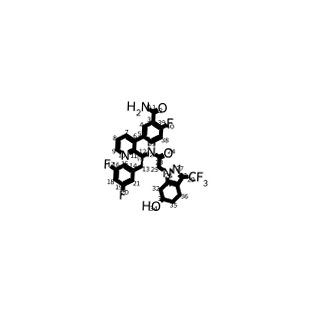 NC(=O)c1cc(-c2cccnc2[C@H](Cc2cc(F)cc(F)c2)NC(=O)Cn2nc(C(F)(F)F)c3c2CC(O)CC3)ccc1F